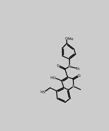 CCN(C(=O)c1c(O)c2c(CS)cccc2n(C)c1=O)c1ccc(OC)cc1